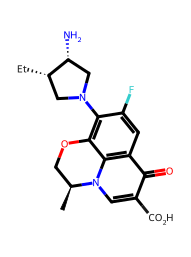 CC[C@H]1CN(c2c(F)cc3c(=O)c(C(=O)O)cn4c3c2OC[C@@H]4C)C[C@H]1N